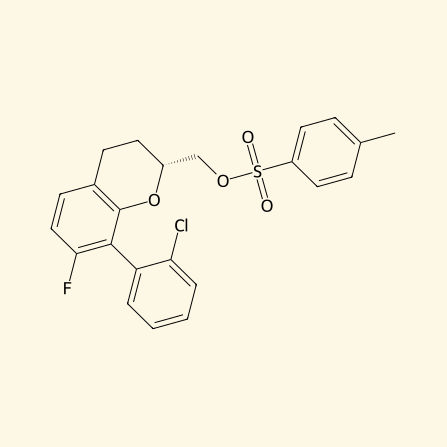 Cc1ccc(S(=O)(=O)OC[C@H]2CCc3ccc(F)c(-c4ccccc4Cl)c3O2)cc1